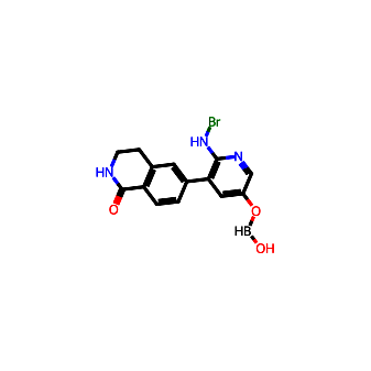 O=C1NCCc2cc(-c3cc(OBO)cnc3NBr)ccc21